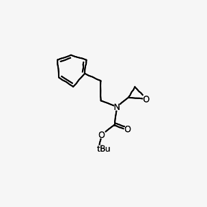 CC(C)(C)OC(=O)N(CCc1ccccc1)C1CO1